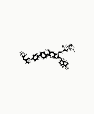 COC(=O)Cc1cnn(-c2ccc(-c3ccc(-c4nc5nc(O[C@@H]6CO[C@H]7[C@@H]6OC[C@H]7O)n(COCC[Si](C)(C)C)c5cc4Cl)cc3)nc2)c1